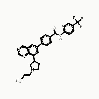 CC=CN1CCC(c2cc(-c3ccc(C(=O)Nc4ccc(C(F)(F)F)cn4)cc3)cc3cncnc23)C1